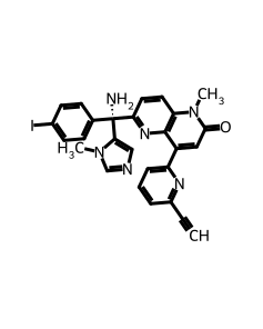 C#Cc1cccc(-c2cc(=O)n(C)c3ccc([C@](N)(c4ccc(I)cc4)c4cncn4C)nc23)n1